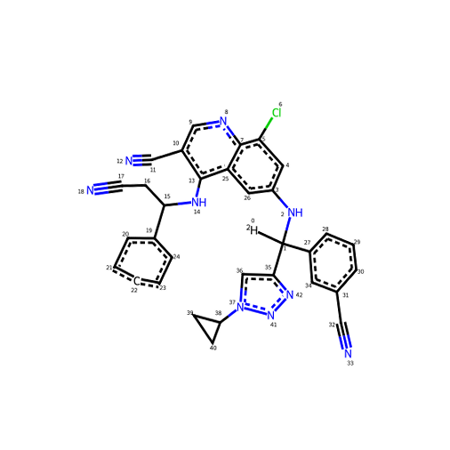 [2H]C(Nc1cc(Cl)c2ncc(C#N)c(NC(CC#N)c3ccccc3)c2c1)(c1cccc(C#N)c1)c1cn(C2CC2)nn1